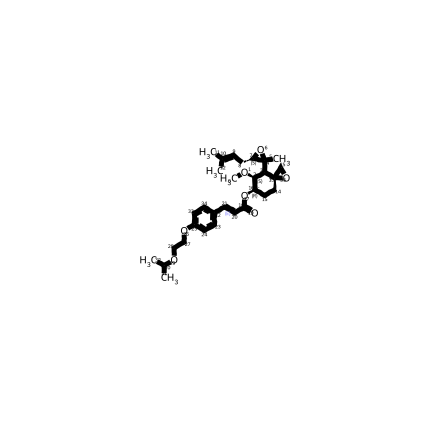 CO[C@H]1C(C2(C)O[C@H]2CC=C(C)C)[C@]2(CC[C@H]1OC(=O)/C=C/c1ccc(OCCOC(C)C)cc1)CO2